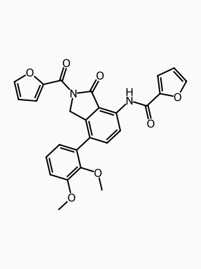 COc1cccc(-c2ccc(NC(=O)c3ccco3)c3c2CN(C(=O)c2ccco2)C3=O)c1OC